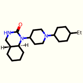 CCC1CCC(N2CCC(N3C(=O)NC[C@H]4CCCC[C@@H]43)CC2)CC1